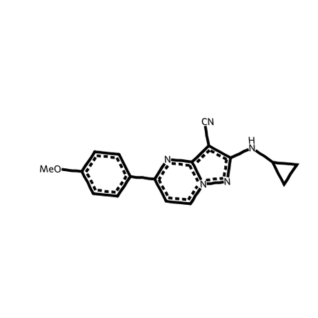 COc1ccc(-c2ccn3nc(NC4CC4)c(C#N)c3n2)cc1